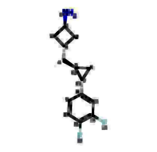 N[C@H]1C[C@H](C[C@H]2C[C@@H]2c2ccc(F)c(F)c2)C1